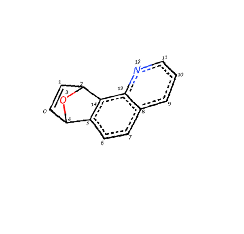 C1=CC2OC1c1ccc3cccnc3c12